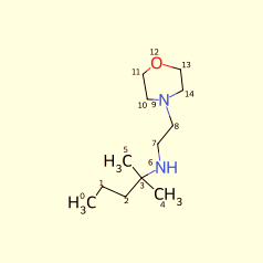 CCCC(C)(C)NCCN1CCOCC1